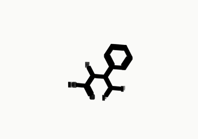 O=C(O)C(F)C(c1ccccc1)C(F)F